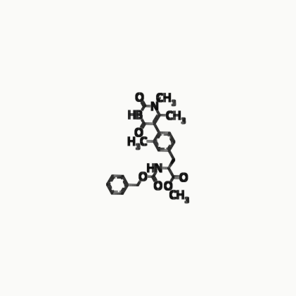 COC(=O)[C@H](Cc1ccc(C2=C(C)N(C)C(=O)BC2=O)c(C)c1)NC(=O)OCc1ccccc1